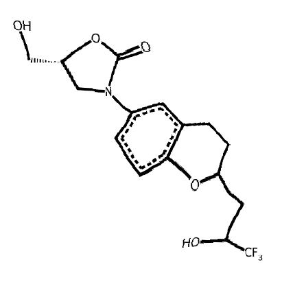 O=C1O[C@@H](CO)CN1c1ccc2c(c1)CCC(CC(O)C(F)(F)F)O2